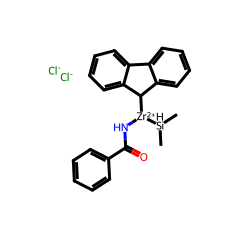 C[SiH](C)[Zr+2]([NH]C(=O)c1ccccc1)[CH]1c2ccccc2-c2ccccc21.[Cl-].[Cl-]